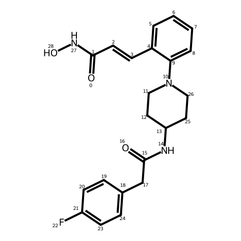 O=C(C=Cc1ccccc1N1CCC(NC(=O)Cc2ccc(F)cc2)CC1)NO